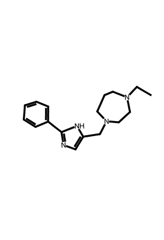 CCN1CCCN(Cc2cnc(-c3ccccc3)[nH]2)CC1